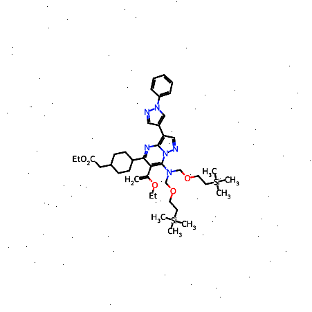 C=C(OCC)c1c(C2CCC(CC(=O)OCC)CC2)nc2c(-c3cnn(-c4ccccc4)c3)cnn2c1N(COCC[Si](C)(C)C)COCC[Si](C)(C)C